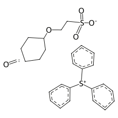 O=S(=O)([O-])CCOC1CCCCC1.[C]=O.c1ccc([S+](c2ccccc2)c2ccccc2)cc1